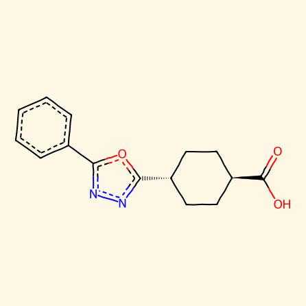 O=C(O)[C@H]1CC[C@H](c2nnc(-c3ccccc3)o2)CC1